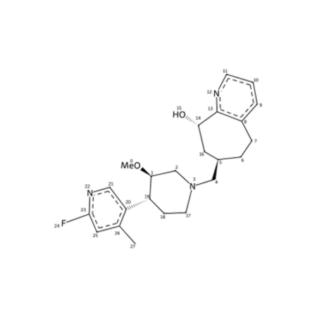 CO[C@H]1CN(C[C@@H]2CCc3cccnc3[C@@H](O)C2)CC[C@@H]1c1cnc(F)cc1C